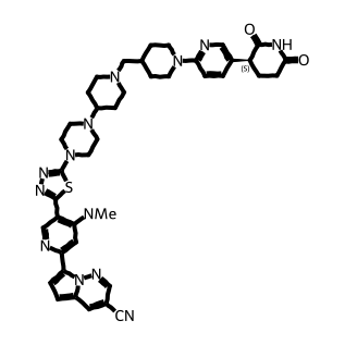 CNc1cc(-c2ccc3cc(C#N)cnn23)ncc1-c1nnc(N2CCN(C3CCN(CC4CCN(c5ccc([C@@H]6CCC(=O)NC6=O)cn5)CC4)CC3)CC2)s1